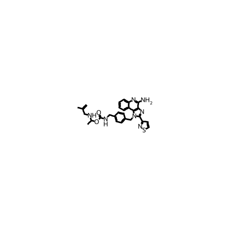 C=C(C)CNC(C)OC(=O)NCc1ccc(Cn2c(-c3ccsn3)nc3c(N)nc4ccccc4c32)cc1